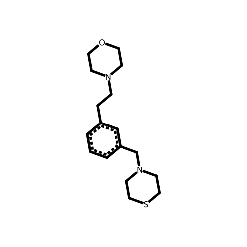 c1cc(CCN2CCOCC2)cc(CN2CCSCC2)c1